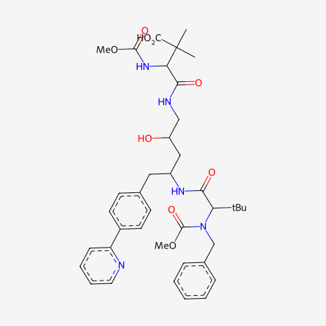 COC(=O)NC(C(=O)NCC(O)CC(Cc1ccc(-c2ccccn2)cc1)NC(=O)C(N(Cc1ccccc1)C(=O)OC)C(C)(C)C)C(C)(C)C(=O)O